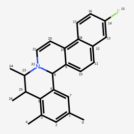 Cc1cc(C)c2c(c1)C1c3ccc4cc(F)ccc4c3C=CN1C(C)C2C